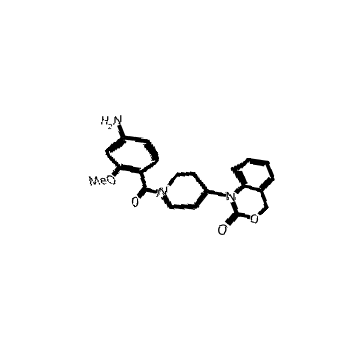 COc1cc(N)ccc1C(=O)N1CCC(N2C(=O)OCc3ccccc32)CC1